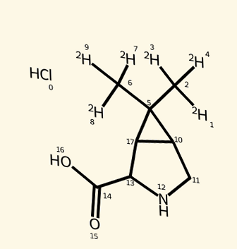 Cl.[2H]C([2H])([2H])C1(C([2H])([2H])[2H])C2CNC(C(=O)O)C21